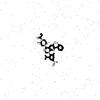 C=CC(=O)N1C[C@H](C)N(C2=NCN(c3c(C)cc([S+](C)[O-])cc3C(C)C)c3nc(-c4ccccc4F)c(Cl)cc32)C[C@H]1C